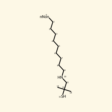 CCCCCCCCCCCCCCCCCCNCC(C)(C)S